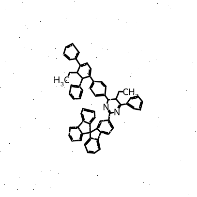 CCC1C(c2ccccc2)=NC(c2ccc3c(c2)C2(c4ccccc4-c4ccccc42)c2ccccc2-3)=NC1c1ccc(C2=CC=C(c3ccccc3)C(CC)C2c2ccccc2)cc1